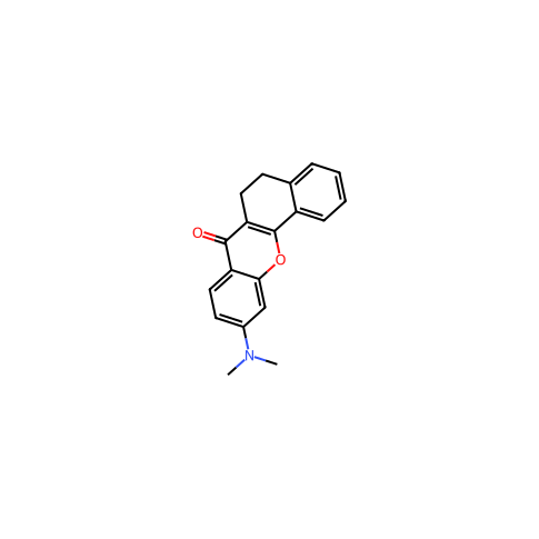 CN(C)c1ccc2c(=O)c3c(oc2c1)-c1ccccc1CC3